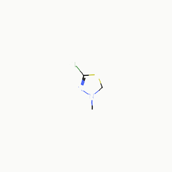 [CH2]N1CSC(Cl)=N1